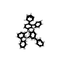 c1ccc(C2=C3C4=C(CC2)N2c5cccc6c5B(c5ccccc5-6)c5cc(-c6ccccc6)cc(c52)B4c2ccccc23)cc1